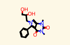 Cn1c(=O)c2c(-c3ccccc3)n(CC(O)CO)cc2n(C)c1=O